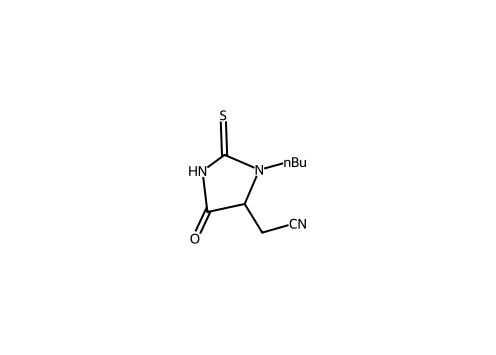 CCCCN1C(=S)NC(=O)C1CC#N